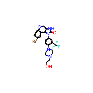 O=c1[nH]c2cnc3ccc(Br)cc3c2n1-c1ccc(N2CCN(CCO)CC2)c(C(F)(F)F)c1